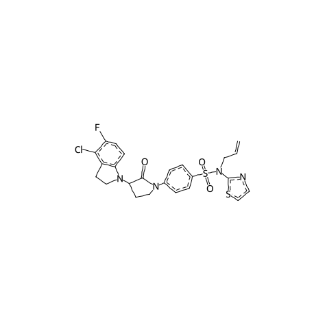 C=CCN(c1nccs1)S(=O)(=O)c1ccc(N2CCC(N3CCc4c3ccc(F)c4Cl)C2=O)cc1